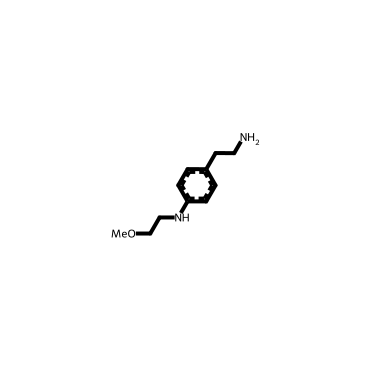 COCCNc1ccc(CCN)cc1